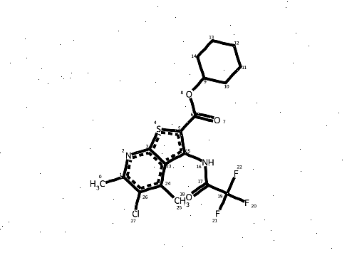 Cc1nc2sc(C(=O)OC3CCCCC3)c(NC(=O)C(F)(F)F)c2c(C)c1Cl